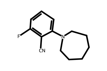 N#Cc1c(F)cccc1N1CCCCCC1